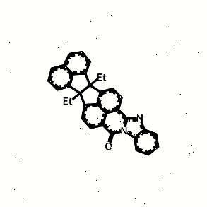 CCC12c3cccc4cccc(c34)C1(CC)c1ccc3c4c1c2ccc4c(=O)n1c2ccccc2nc31